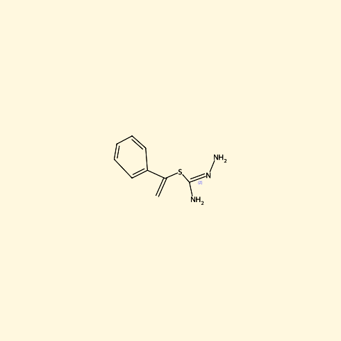 C=C(S/C(N)=N\N)c1ccccc1